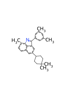 Cc1cc(C)cc(C2=Nc3c(C)ccc4cc(C5CCC(C)(C)CC5)cc2c34)c1